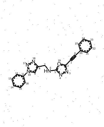 C(#Cc1nnc(NCc2cn(-c3ccccc3)nn2)o1)c1ccccc1